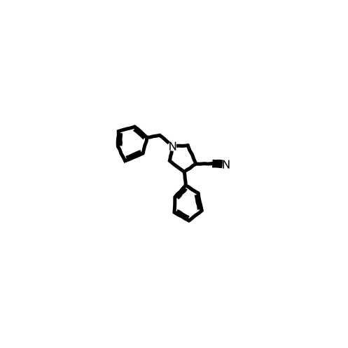 N#CC1CN(Cc2ccccc2)CC1c1ccccc1